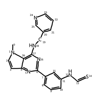 Cn1ccc2nc(-c3cccc(NC=S)c3)nc(NCc3cccnc3)c21